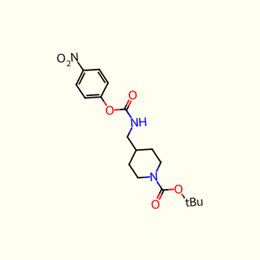 CC(C)(C)OC(=O)N1CCC(CNC(=O)Oc2ccc([N+](=O)[O-])cc2)CC1